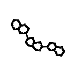 c1ccc2ncc(-c3ccc4cnc(-c5ccc6nccnc6c5)cc4c3)cc2c1